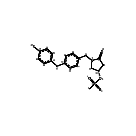 CS(=O)(=O)O[C@H]1CC(=O)N(Cc2ccc(Oc3ccc(F)cc3)nc2)C1